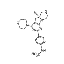 O=C(O)Nc1ccc(-c2nc(N3CCOCC3)c3c(n2)N2CCOC[C@H]2C3)cn1